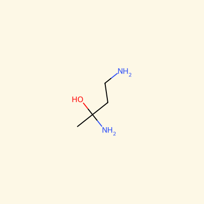 CC(N)(O)CCN